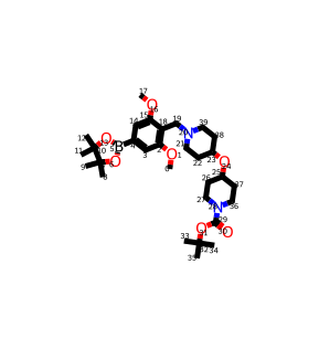 COc1cc(B2OC(C)(C)C(C)(C)O2)cc(OC)c1CN1CCC(OC2CCN(C(=O)OC(C)(C)C)CC2)CC1